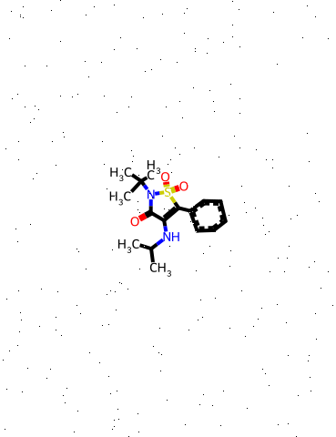 CC(C)NC1=C(c2ccccc2)S(=O)(=O)N(C(C)(C)C)C1=O